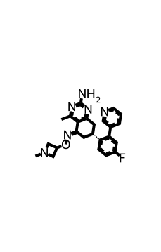 Cc1nc(N)nc2c1/C(=N/OC1CN(C)C1)C[C@@H](c1ccc(F)cc1-c1cccnc1)C2